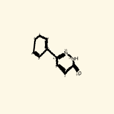 O=c1ccc(C2=CCCC=C2)n[nH]1